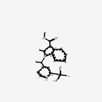 COC(=O)c1c(C)n(C(C)c2ccnc(C(F)(F)F)c2)c2ccccc12